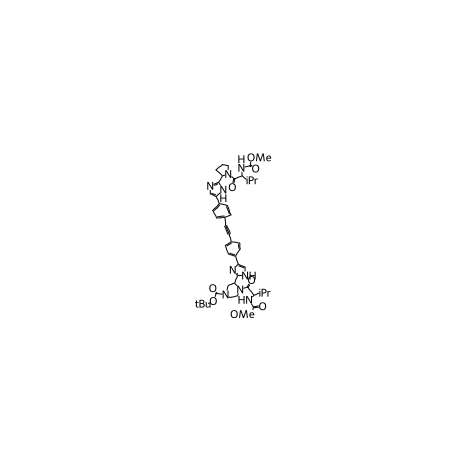 COC(=O)NC(C(=O)N1CCN(C(=O)OC(C)(C)C)CC1c1nc(-c2ccc(C#Cc3ccc(-c4cnc(C5CCCN5C(=O)C(NC(=O)OC)C(C)C)[nH]4)cc3)cc2)c[nH]1)C(C)C